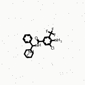 Nc1c(Cl)cc(C(=O)NC(c2ccccc2)C23CCC(CC2)CN3)cc1C(F)(F)F